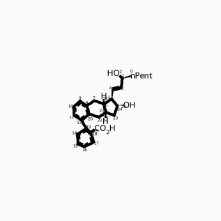 CCCCC[C@H](O)/C=C/[C@@H]1[C@H]2Cc3cccc(-c4ccccc4C(=O)O)c3C[C@H]2C[C@H]1O